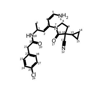 CC(/C=C(\C=C/N)N1CCC(C#N)(C2CC2)C1=O)NC(=O)Cc1ccc(Cl)cc1